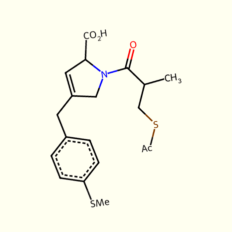 CSc1ccc(CC2=CC(C(=O)O)N(C(=O)C(C)CSC(C)=O)C2)cc1